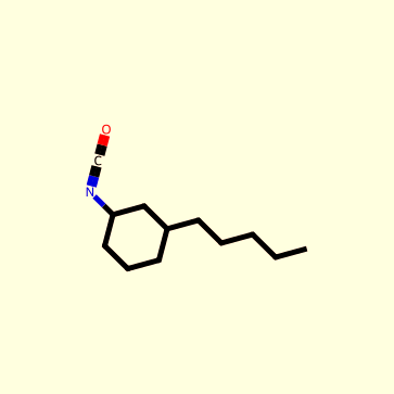 CCCCCC1CCCC(N=C=O)C1